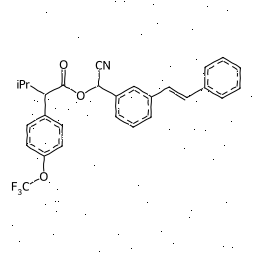 CC(C)C(C(=O)OC(C#N)c1cccc(/C=C/c2ccccc2)c1)c1ccc(OC(F)(F)F)cc1